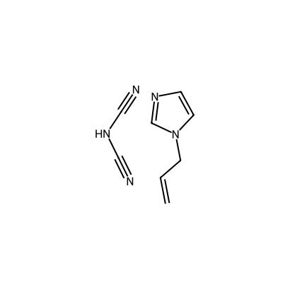 C=CCn1ccnc1.N#CNC#N